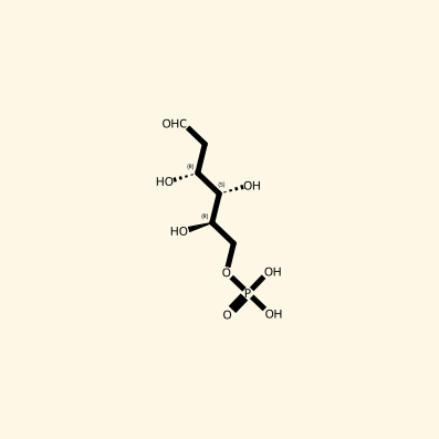 O=CC[C@@H](O)[C@H](O)[C@H](O)COP(=O)(O)O